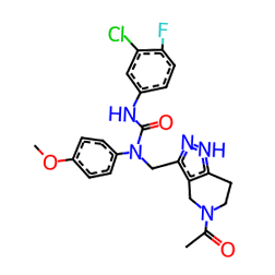 COc1ccc(N(Cc2n[nH]c3c2CN(C(C)=O)CC3)C(=O)Nc2ccc(F)c(Cl)c2)cc1